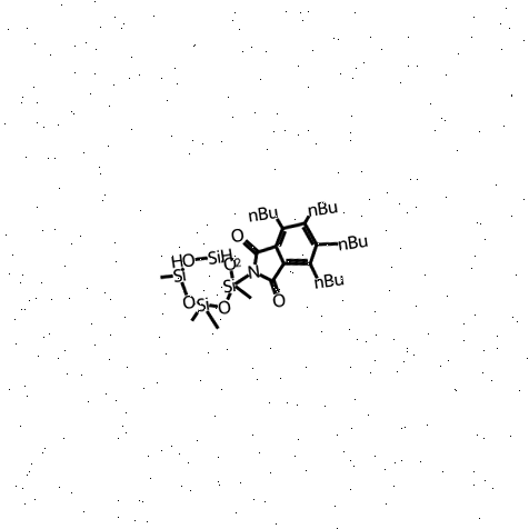 CCCCc1c(CCCC)c(CCCC)c2c(c1CCCC)C(=O)N([Si]1(C)O[SiH2]O[SiH](C)O[Si](C)(C)O1)C2=O